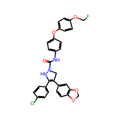 O=C(Nc1ccc(Oc2ccc(OCF)cc2)cc1)N1CC(c2ccc3c(c2)OCO3)=C(c2ccc(Cl)cc2)N1